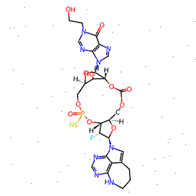 O=C1OC[C@H]2O[C@@H](n3cc4c5c(ncnc53)NCCC4)[C@H](F)[C@@H]2OP(=O)(S)OC[C@H]2O[C@@H](n3cnc4c(=O)n(CCO)cnc43)[C@H](O1)[C@@H]2O